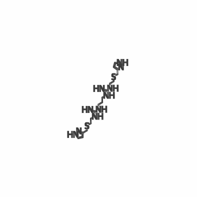 N=C(NCCCNC(=N)NCCSCc1cc[nH]n1)NCCSCc1cc[nH]n1